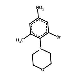 Cc1cc([N+](=O)[O-])cc(Br)c1N1CCOCC1